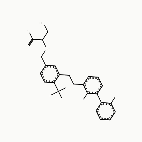 Cc1c(CCc2cc(CNC(CO)C(=O)O)ccc2C(F)(F)F)cccc1-c1ccccc1F